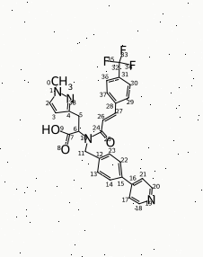 Cn1ccc(CC(C(=O)O)N(Cc2ccc(-c3ccncc3)cc2)C(=O)C=Cc2ccc(C(F)(F)F)cc2)n1